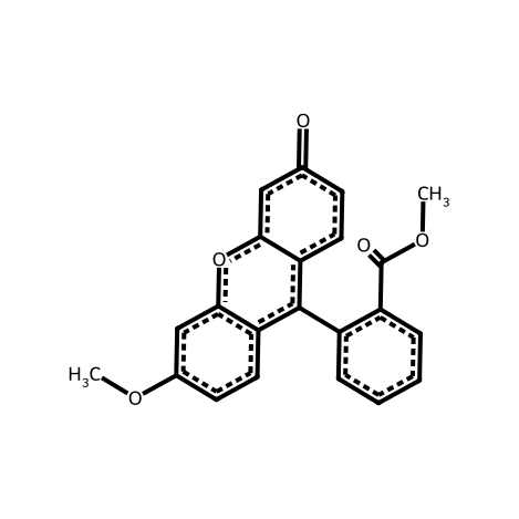 COC(=O)c1ccccc1-c1c2ccc(=O)cc-2oc2cc(OC)ccc12